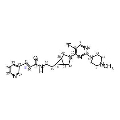 CN1CCN(c2ncc(F)c(N3CC4C(CCNC(=O)/C=C/c5cccnc5)C4C3)n2)CC1